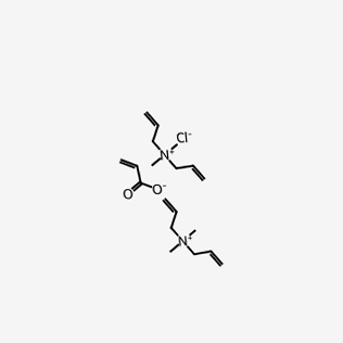 C=CC(=O)[O-].C=CC[N+](C)(C)CC=C.C=CC[N+](C)(C)CC=C.[Cl-]